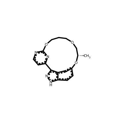 C[C@H]1COCCCOc2nccc(n2)-c2n[nH]c3ccc(cc23)O1